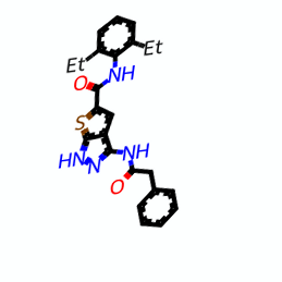 CCc1cccc(CC)c1NC(=O)c1cc2c(NC(=O)Cc3ccccc3)n[nH]c2s1